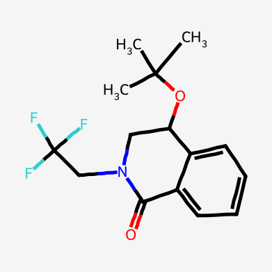 CC(C)(C)OC1CN(CC(F)(F)F)C(=O)c2ccccc21